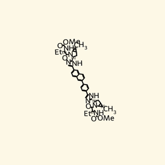 CC[C@H](NC(=O)OC)C(=O)N1C2C(C[C@H]1c1ncc(-c3ccc(-c4ccc5cc(-c6cnc([C@@H]7CC8C([C@@H]8C)N7C(=O)[C@H](CC)NC(=O)OC)[nH]6)ccc5c4)cc3)[nH]1)[C@H]2C